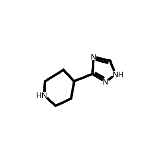 c1nc(C2CCNCC2)n[nH]1